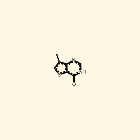 Cc1csc2c(=O)[nH]cnc12